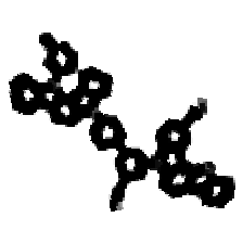 C=C/C=C(\C=C/C)n1c2ccccc2c2ccc3c(c4ccccc4n3-c3ccc(-c4cc(C#N)cc(-n5c6ccc(C#N)cc6c6c7oc8ccccc8c7ccc65)c4)cc3)c21